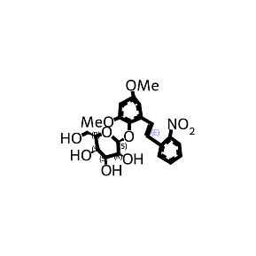 COc1cc(/C=C/c2ccccc2[N+](=O)[O-])c(O[C@@H]2O[C@H](CO)[C@@H](O)[C@H](O)[C@H]2O)c(OC)c1